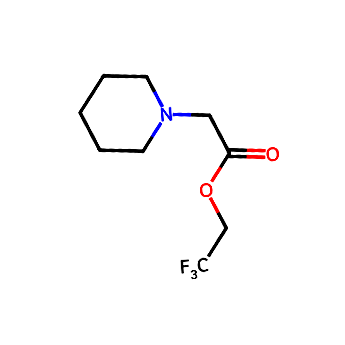 O=C(CN1CCCCC1)OCC(F)(F)F